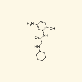 Nc1ccc(O)c(NC(=O)CNC2CCCCC2)c1